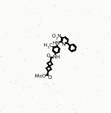 COC(=O)C1CC2(CC(C(=O)Nc3ccc(Nc4nc(-c5ccccc5)ccc4[N+](=O)[O-])c(C)c3)C2)C1